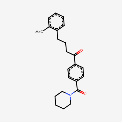 COc1ccccc1CCCC(=O)c1ccc(C(=O)N2CCCCC2)cc1